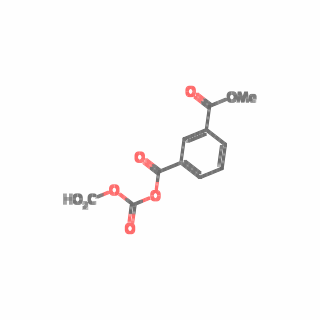 COC(=O)c1cccc(C(=O)OC(=O)OC(=O)O)c1